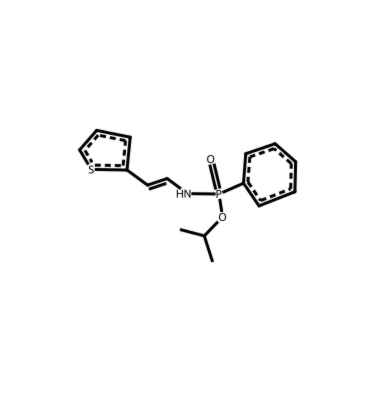 CC(C)OP(=O)(N/C=C/c1cccs1)c1ccccc1